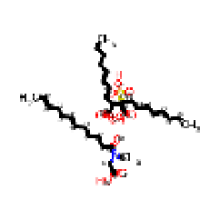 CCCCCCCCC(C(=O)O)C(CCCCCCCC)(C(=O)O)S(=O)(=O)O.CCCCCCCCCCCC(=O)N(C)CC(=O)O